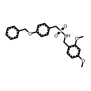 COc1ccc(CNS(=O)(=O)Cc2ccc(OCc3ccccc3)cc2)c(OC)c1